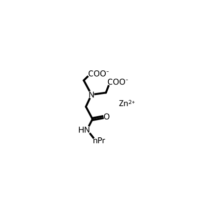 [CH2]CCNC(=O)CN(CC(=O)[O-])CC(=O)[O-].[Zn+2]